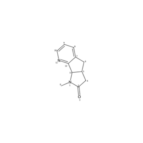 CN1C(=O)CC2Cc3cccnc3C21